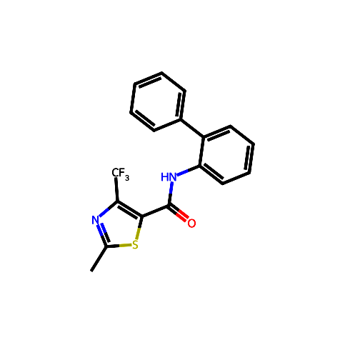 Cc1nc(C(F)(F)F)c(C(=O)Nc2ccccc2-c2ccccc2)s1